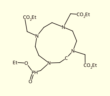 CCOC(=O)CN1CCN(CC(=O)OCC)CCN(C[PH](=O)OCC)CCN(CC(=O)OCC)CC1